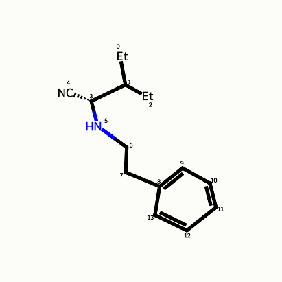 CCC(CC)[C@@H](C#N)NCCc1ccccc1